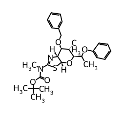 CC(Oc1ccccc1)[C@H]1O[C@@H]2SC(N(C)C(=O)OC(C)(C)C)=N[C@@H]2[C@@H](OCc2ccccc2)[C@@H]1C